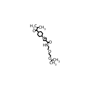 CC(C)OCCOCCNC(=O)C1CN(C2CCC(C(=O)C(C)C)CC2)C1